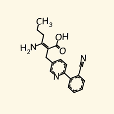 CCC/C(N)=C(/Cc1ccc(-c2ccccc2C#N)nc1)C(=O)O